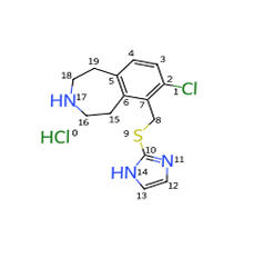 Cl.Clc1ccc2c(c1CSc1ncc[nH]1)CCNCC2